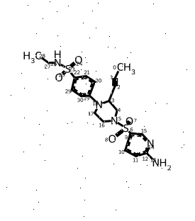 CC#CC1CN(S(=O)(=O)c2ccc(N)nc2)CCN1c1ccc(S(=O)(=O)NCC)cc1